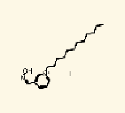 CCCCCCCCCCCC[n+]1cccc(/C=N\O)c1.[I-]